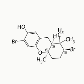 CC1(C)[C@@H](Br)CC[C@@]2(C)Oc3cc(Br)c(O)cc3C[C@@H]12